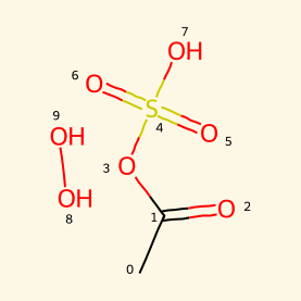 CC(=O)OS(=O)(=O)O.OO